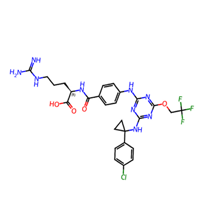 N=C(N)NCCC[C@@H](NC(=O)c1ccc(Nc2nc(NC3(c4ccc(Cl)cc4)CC3)nc(OCC(F)(F)F)n2)cc1)C(=O)O